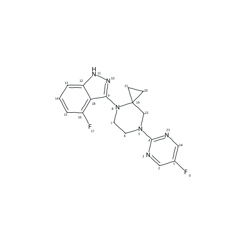 Fc1cnc(N2CCN(c3n[nH]c4cccc(F)c34)C3(CC3)C2)nc1